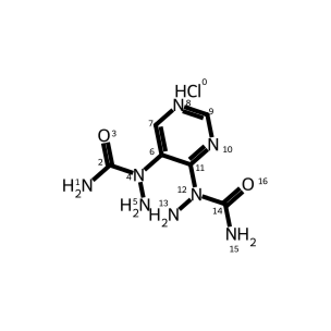 Cl.NC(=O)N(N)c1cncnc1N(N)C(N)=O